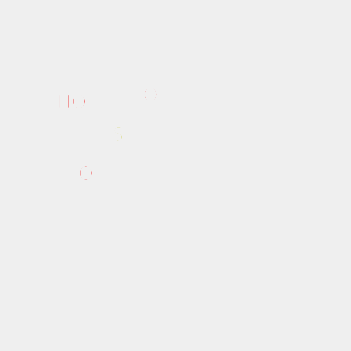 Cc1c[c]c(S(=O)(=O)O)cc1C